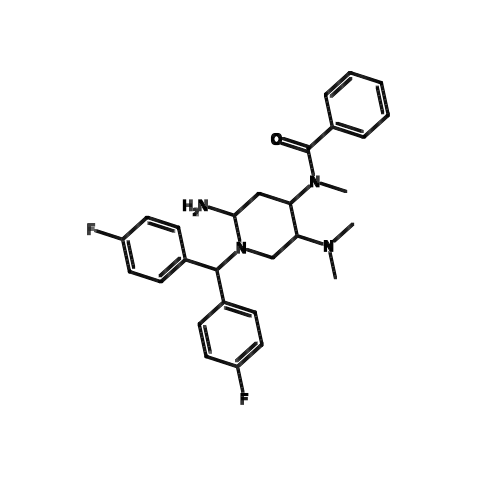 CN(C)C1CN(C(c2ccc(F)cc2)c2ccc(F)cc2)C(N)CC1N(C)C(=O)c1ccccc1